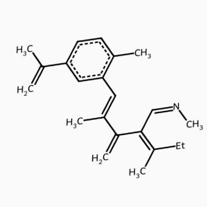 C=C(C(/C=N\C)=C(\C)CC)/C(C)=C/c1cc(C(=C)C)ccc1C